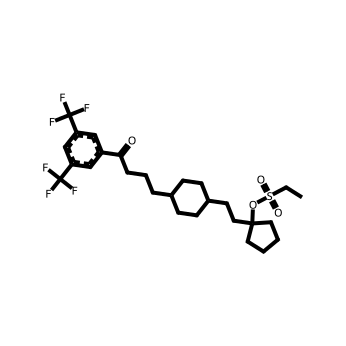 CCS(=O)(=O)OC1(CCC2CCC(CCCC(=O)c3cc(C(F)(F)F)cc(C(F)(F)F)c3)CC2)CCCC1